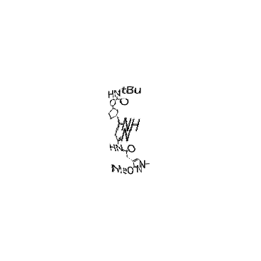 COc1nn(C)cc1CC(=O)Nc1cc([C@H]2CC[C@@H](OC(=O)NC(C)(C)C)C2)[nH]n1